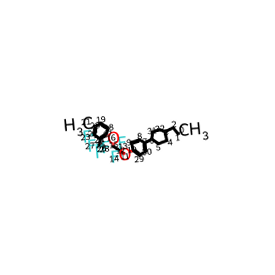 CCCC1CCC(c2ccc(OC(F)(F)COc3ccc(C)c(F)c3C(F)(F)F)cc2)CC1